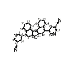 N#Cc1cncc(-c2cc3oc4cc(-c5cncc(C#N)c5)c5ccccc5c4c3c3ccccc23)c1